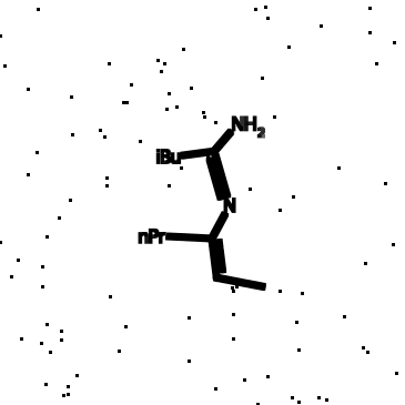 C/C=C(CCC)\N=C(\N)C(C)CC